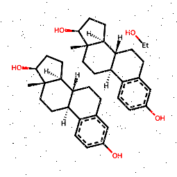 CCO.C[C@]12CC[C@@H]3c4ccc(O)cc4CC[C@H]3[C@@H]1CC[C@@H]2O.C[C@]12CC[C@@H]3c4ccc(O)cc4CC[C@H]3[C@@H]1CC[C@@H]2O